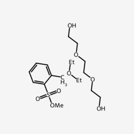 CCOCC.COS(=O)(=O)c1ccccc1C.OCCOCCOCCO